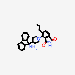 CCCc1ccc2c(c1N1CCC(C(N)(c3ccccc3)c3ccccc3)CC1)C(=O)NC2=O